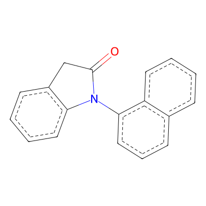 O=C1Cc2ccccc2N1c1cccc2ccccc12